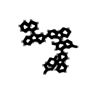 Cc1ccc2c(-n3c4ccccc4c4ccc(-c5ccc6c7ccccc7n(-c7cccc8ccccc78)c6c5)cc43)c(C)cc(-c3ccc4c(c3)C3(c5ccccc5-4)C(C)CC4CC(C)CC3C4)c2c1